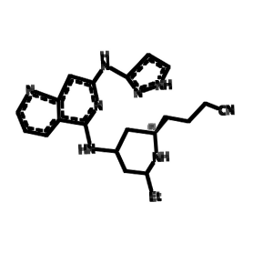 CCC1CC(Nc2nc(Nc3cc[nH]n3)cc3ncccc23)C[C@@H](CCCC#N)N1